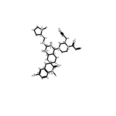 C=CC(=O)N1CCN(C2NC(OC[C@H]3CCCN3C)NC3C[C@]4(CCC32)Cc2cc(F)ccc2N(C)C4=O)C[C@H]1CC#N